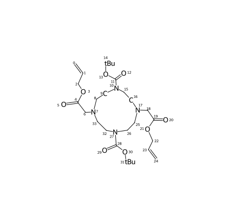 C=CCOC(=O)CN1CCN(C(=O)OC(C)(C)C)CCN(CC(=O)OCC=C)CCN(C(=O)OC(C)(C)C)CC1